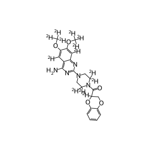 [2H]c1c(OC([2H])([2H])[2H])c(OC([2H])([2H])[2H])c([2H])c2c(N)nc(N3CC([2H])([2H])N(C(=O)C4([2H])COc5ccccc5O4)C([2H])([2H])C3)nc12